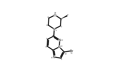 C[C@H]1CN(c2ccc3ncc(Br)n3n2)CCO1